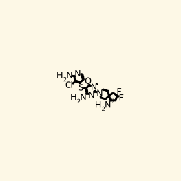 Cn1c(N2CCC3(CC2)CC(F)(F)C[C@H]3N)nc(N)c(Sc2ccnc(N)c2Cl)c1=O